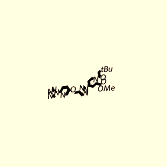 COC(=O)C1C[C@H](n2ncc(COc3ccc(-n4cnnn4)nc3)n2)CCN1C(=O)CC(C)(C)C